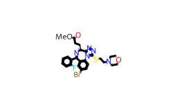 COC(=O)CC[C@@H]1N=C(c2ccccc2F)c2cc(Br)ccc2-n2c(SCCN3CCOCC3)nnc21